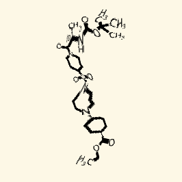 CCOC(=O)[C@H]1CC[C@H](N2CCN(S(=O)(=O)C3CCN(C(=O)[C@H](C)NC(=O)OC(C)(C)C)CC3)CC2)CC1